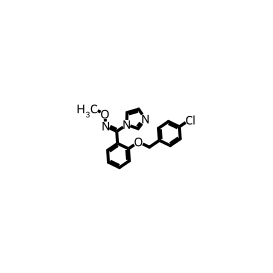 CON=C(c1ccccc1OCc1ccc(Cl)cc1)n1ccnc1